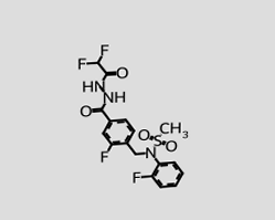 CS(=O)(=O)N(Cc1ccc(C(=O)NNC(=O)C(F)F)cc1F)c1ccccc1F